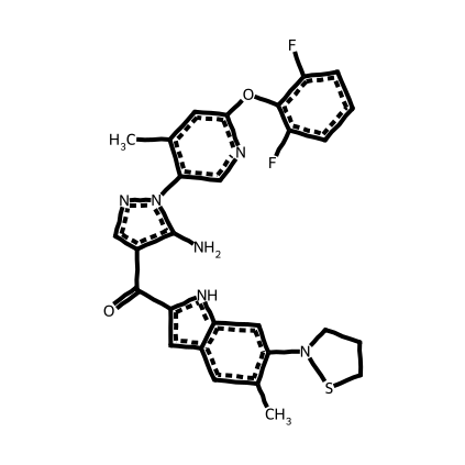 Cc1cc2cc(C(=O)c3cnn(-c4cnc(Oc5c(F)cccc5F)cc4C)c3N)[nH]c2cc1N1CCCS1